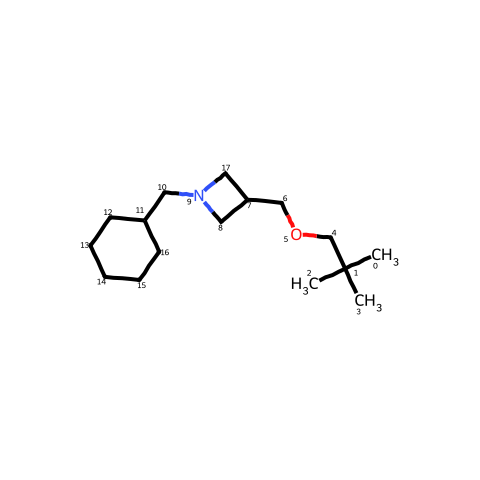 CC(C)(C)COCC1CN(CC2CCCCC2)C1